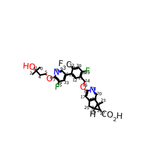 CC(C)(O)CCOc1ncc(-c2cc(COc3cc4c(cn3)C3(C)[C@@H](C4)[C@@H]3C(=O)O)c(F)cc2C(F)(F)F)cc1F